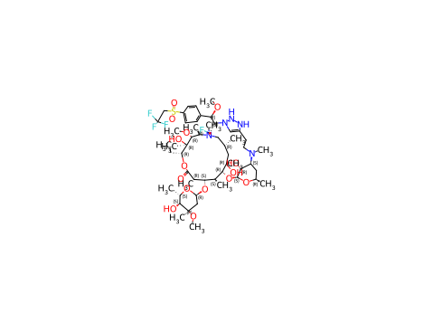 CC[C@H]1OC(=O)[C@H](C)[C@@H](O[C@H]2C[C@@](C)(OC)[C@@H](O)[C@H](C)O2)[C@H](C)[C@@H](O[C@@H]2O[C@H](C)C[C@H](N(C)CCC3=CN([C@H](CF)[C@H](OC)c4ccc(S(=O)(=O)CC(F)(F)F)cc4)NN3)[C@H]2O)[C@](C)(O)C[C@@H](C)CN(C)[C@H](C)[C@@H](OC)[C@]1(C)O